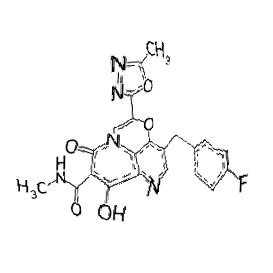 CNC(=O)c1c(O)c2ncc(Cc3ccc(F)cc3)c3c2n(c1=O)C=C(c1nnc(C)o1)O3